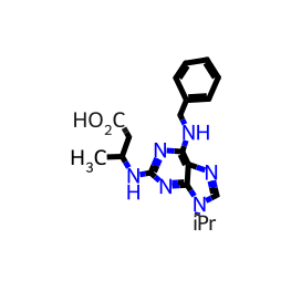 CC(CC(=O)O)Nc1nc(NCc2ccccc2)c2ncn(C(C)C)c2n1